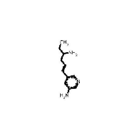 CCC(N)C/C=C/c1cncc(N)c1